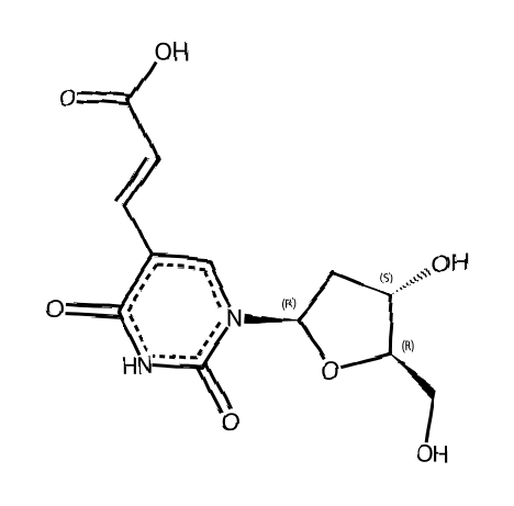 O=C(O)C=Cc1cn([C@H]2C[C@H](O)[C@@H](CO)O2)c(=O)[nH]c1=O